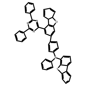 C1=CC2Oc3cc(-c4ccc(N(c5ccccc5)c5cccc6c5sc5ccccc56)cc4)cc(-c4nc(-c5ccccc5)nc(-c5ccccc5)n4)c3C2C=C1